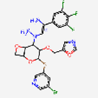 N/C(=C\N(N)C1C2OCC2OC(Sc2cncc(Br)c2)C1OCc1cnco1)c1cc(F)c(F)c(F)c1